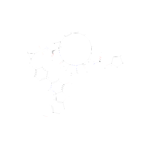 COc1ccc2oc3c(O[C@@H]4C[C@H]5C(=O)N[C@]6(C(=O)NS(=O)(=O)C7CC7)C[C@H]6/C=C\CCCCC[C@H](NC(=O)OC6CCCC6)C(=O)N5C4)cc(-c4ccc(C)cc4)nc3c2c1